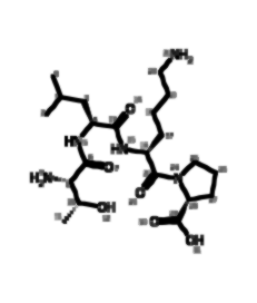 CC(C)C[C@H](NC(=O)[C@@H](N)[C@@H](C)O)C(=O)N[C@@H](CCCCN)C(=O)N1CCC[C@H]1C(=O)O